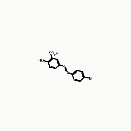 O=C(O)c1cc(N=Nc2ccc(Br)cc2)ccc1O